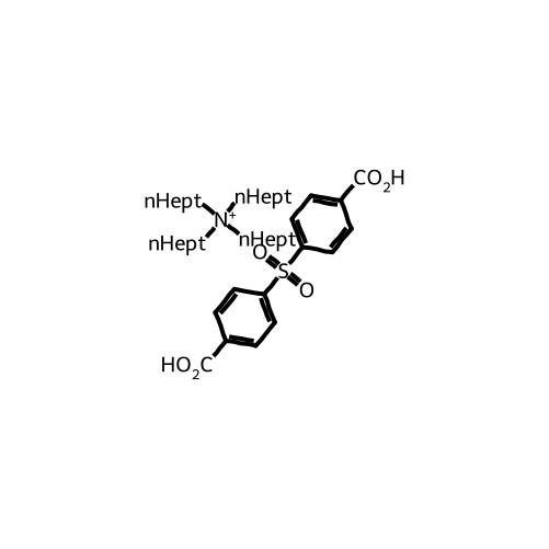 CCCCCCC[N+](CCCCCCC)(CCCCCCC)CCCCCCC.O=C(O)c1ccc(S(=O)(=O)c2ccc(C(=O)O)cc2)cc1